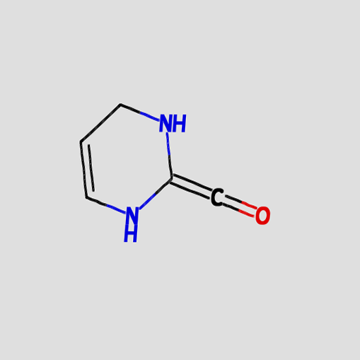 O=C=C1NC=CCN1